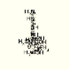 COC[C@H]1C(C=O)C(c2cc(OC)c(O)c(OC)c2)c2cc(O)c(O)cc2[C@H]1NC(=O)CNCCCNCCCCNCCCN